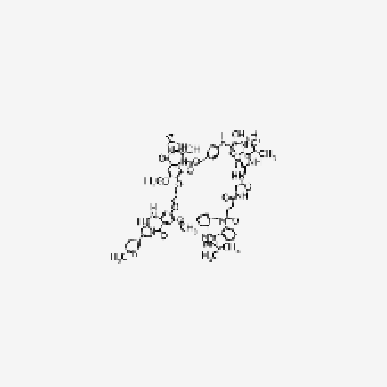 COc1cc2c(cc1OCCCOc1cc3c(cc1OC)C(=O)N1CC4(CC4)C[C@H]1C(O)N3C(=O)OCc1ccc(NC(=O)[C@H](C)NC(=O)[C@@H](NC(=O)CNC(=O)CNC(=O)CCC(=O)N3Cc4ccccc4-c4nnn(C(C)C)c4-c4ccccc43)C(C)C)cc1)NC[C@@H]1CC(c3ccc(C)nc3)=CN1C2=O